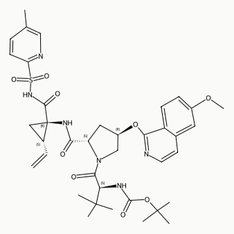 C=C[C@@H]1C[C@]1(NC(=O)[C@@H]1C[C@@H](Oc2nccc3cc(OC)ccc23)CN1C(=O)[C@@H](NC(=O)OC(C)(C)C)C(C)(C)C)C(=O)NS(=O)(=O)c1ccc(C)cn1